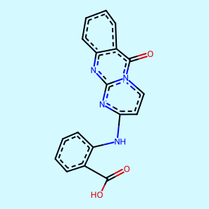 O=C(O)c1ccccc1Nc1ccn2c(=O)c3ccccc3nc2n1